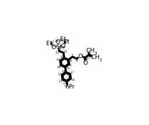 C=C(C)C(=O)OCCc1cc(-c2ccc(CCC)cc2)ccc1CC[Si](OCC)(OCC)OCC